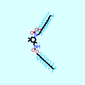 CC1(C)CC(N(CC(F)(F)C(F)(F)C(F)(F)C(F)(F)C(F)(F)C(F)(F)C(F)(F)C(F)F)C(=O)O)CC(C)(CNC(=O)OCC(F)(F)C(F)(F)C(F)(F)C(F)(F)C(F)(F)C(F)(F)C(F)(F)C(F)F)C1